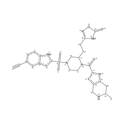 C#Cc1ccc2[nH]c(S(=O)(=O)N3CCN(C(=O)c4nc5c(s4)CNC(C)C5)C(CCC4=NOS(=O)N4)C3)cc2c1